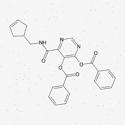 O=C(Oc1ncnc(C(=O)NCC2CC=CC2)c1OC(=O)c1ccccc1)c1ccccc1